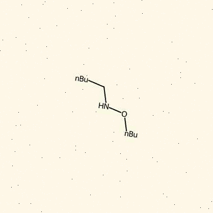 CCCCCNOCCCC